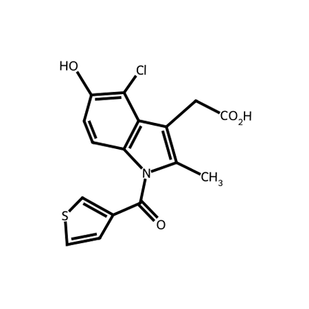 Cc1c(CC(=O)O)c2c(Cl)c(O)ccc2n1C(=O)c1ccsc1